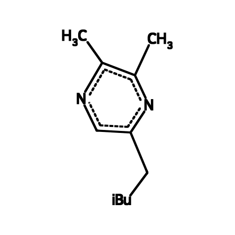 CCC(C)Cc1cnc(C)c(C)n1